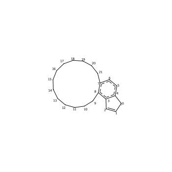 [CH]1C=Cc2c1ccc1c2CCCCCCCCCCCCC1